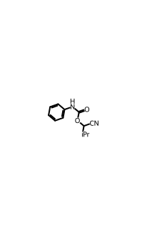 CC(C)C(C#N)OC(=O)Nc1ccccc1